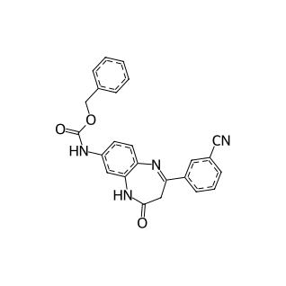 N#Cc1cccc(C2=Nc3ccc(NC(=O)OCc4ccccc4)cc3NC(=O)C2)c1